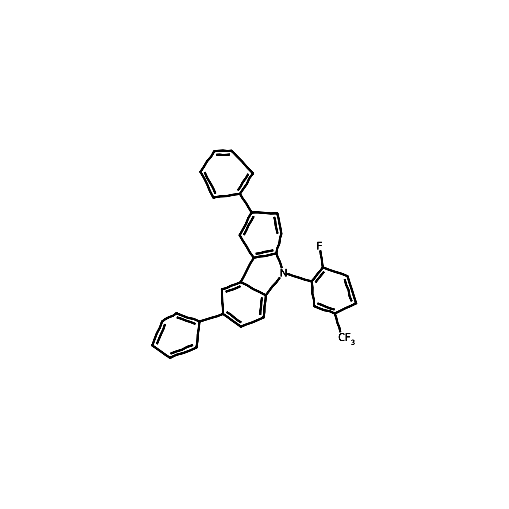 Fc1ccc(C(F)(F)F)cc1-n1c2ccc(-c3ccccc3)cc2c2cc(-c3ccccc3)ccc21